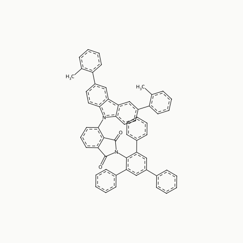 Cc1ccccc1-c1ccc2c(c1)c1cc(-c3ccccc3C)ccc1n2-c1cccc2c1C(=O)N(c1c(-c3ccccc3)cc(-c3ccccc3)cc1-c1ccccc1)C2=O